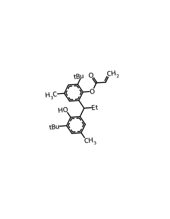 C=CC(=O)Oc1c(C(CC)c2cc(C)cc(C(C)(C)C)c2O)cc(C)cc1C(C)(C)C